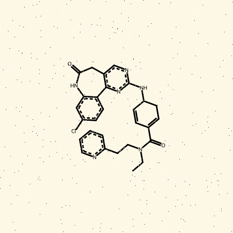 CCN(CCc1ccccn1)C(=O)C1=CCC(Nc2ncc3c(n2)-c2ccc(Cl)cc2NC(=O)C3)C=C1